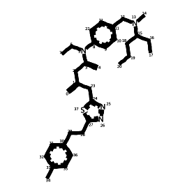 C=C(CC(=C)N(CC)c1ccc(CN(C)C(CC)CCC)cc1)Cc1nnc(CCc2ccc(C)cc2)s1